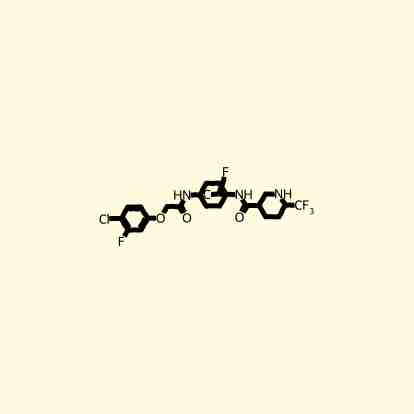 O=C(COc1ccc(Cl)c(F)c1)NC12CCC(NC(=O)C3CCC(C(F)(F)F)NC3)(CC1)C(F)C2